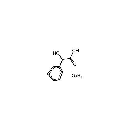 O=C(O)C(O)c1ccccc1.[GaH3]